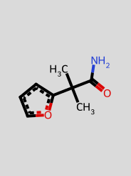 CC(C)(C(N)=O)c1ccco1